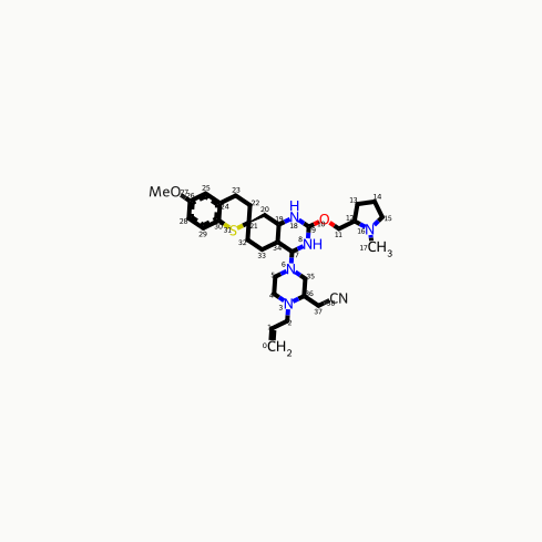 C=CCN1CCN(C2NC(OCC3CCCN3C)NC3C[C@@]4(CCc5cc(OC)ccc5S4)CCC32)CC1CC#N